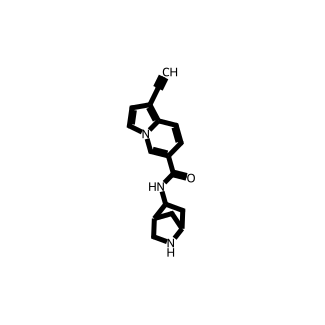 C#Cc1ccn2cc(C(=O)NC3CC4CC3CN4)ccc12